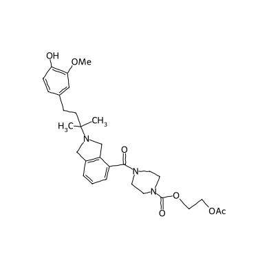 COc1cc(CCC(C)(C)N2Cc3cccc(C(=O)N4CCN(C(=O)OCCOC(C)=O)CC4)c3C2)ccc1O